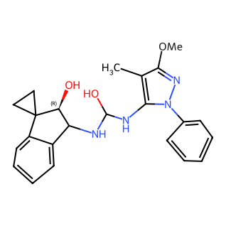 COc1nn(-c2ccccc2)c(NC(O)NC2c3ccccc3C3(CC3)[C@H]2O)c1C